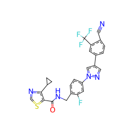 N#Cc1ccc(-c2cnn(-c3ccc(CNC(=O)c4scnc4C4CC4)c(F)c3)c2)cc1C(F)(F)F